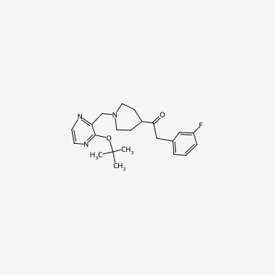 CC(C)(C)Oc1nccnc1CN1CCC(C(=O)Cc2cccc(F)c2)CC1